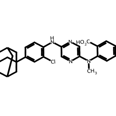 CN(c1cnc(Nc2ccc(C34CC5CC(CC(C5)C3)C4)cc2Cl)cn1)c1ccccc1C(=O)O